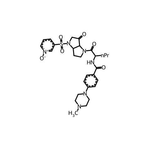 CCCC(NC(=O)c1ccc(N2CCN(C)CC2)cc1)C(=O)N1CCC2C1C(=O)CN2S(=O)(=O)c1ccc[n+]([O-])c1